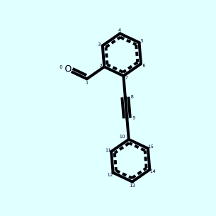 O=Cc1ccccc1C#Cc1ccccc1